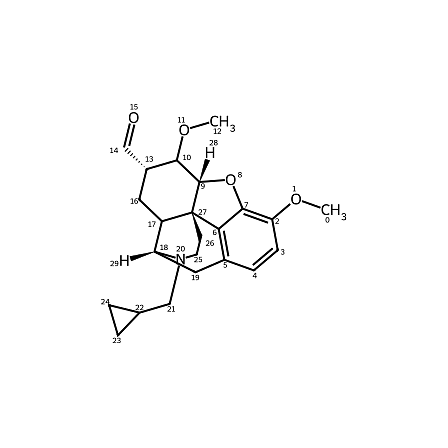 COc1ccc2c3c1O[C@H]1C(OC)[C@@H](C=O)CC4[C@@H](C2)N(CC2CC2)CC[C@@]341